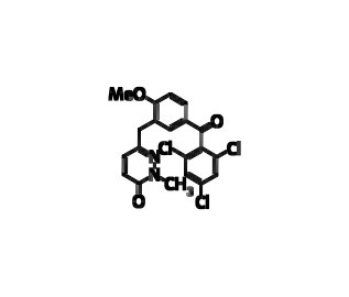 COc1ccc(C(=O)c2c(Cl)cc(Cl)cc2Cl)cc1Cc1ccc(=O)n(C)n1